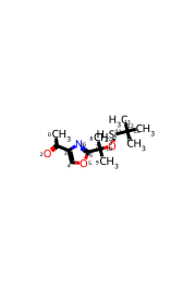 CC(=O)c1coc(C(C)(C)O[SiH2]C(C)(C)C)n1